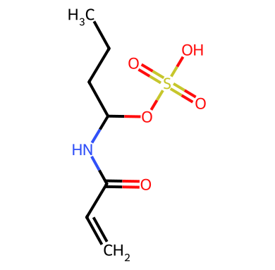 C=CC(=O)NC(CCC)OS(=O)(=O)O